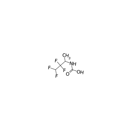 CC(NC(=O)O)C(F)(F)C(F)F